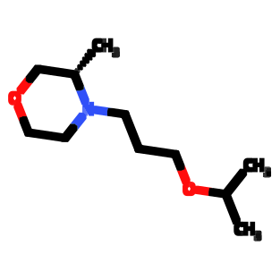 CC(C)OCCCN1CCOC[C@@H]1C